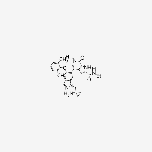 CCNC(=O)c1cc2c(-c3cc4c(cnn4CC4(N)CC4)cc3Oc3c(C)cccc3C)cn(C)c(=O)c2[nH]1